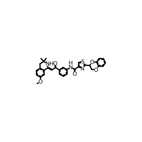 COc1ccc2c(c1)C(=CC(=O)c1cccc(NC(=O)c3csc(C4COc5ccccc5O4)n3)c1)NC(C)(C)C2